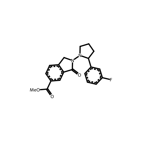 COC(=O)c1ccc2c(c1)C(=O)N(N1CCCC1c1cccc(F)c1)C2